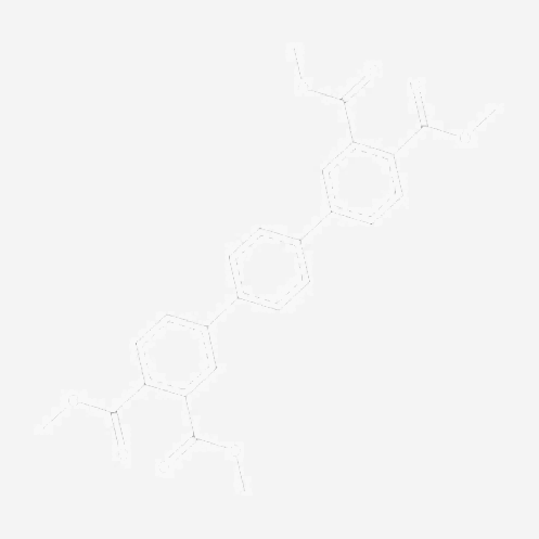 COC(=O)c1ccc(-c2ccc(-c3ccc(C(=O)OC)c(C(=O)OC)c3)cc2)cc1C(=O)OC